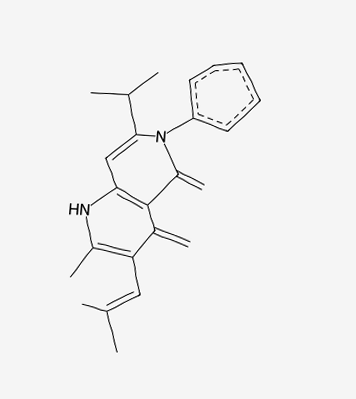 C=C1C(C=C(C)C)=C(C)NC2=C1C(=C)N(c1ccccc1)C(C(C)C)=C2